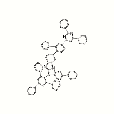 c1ccc(-c2cc(-c3ccccc3)c(-n3c4ccc(-c5ccccc5)cc4n4c5cc(-c6ccc(-c7cc(-c8ccccc8)nc(-c8ccccc8)n7)cc6-c6ccccc6)ccc5nc34)c(-c3ccccc3)c2)cc1